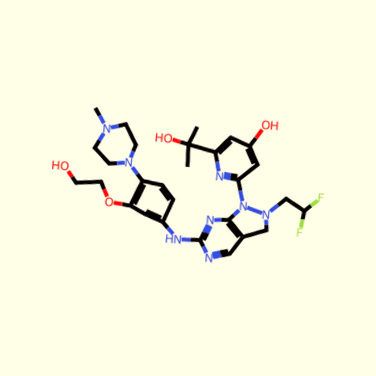 CN1CCN(c2ccc(Nc3ncc4c(n3)N(c3cc(O)cc(C(C)(C)O)n3)N(CC(F)F)C4)cc2OCCO)CC1